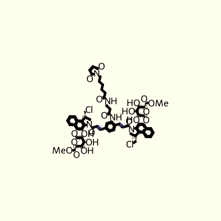 COC(=O)[C@H]1O[C@@H](Oc2cc3c(c4ccccc24)[C@H](CCl)CN3C(=O)/C=C/c2ccc(/C=C/C(=O)N3C[C@@H](CCl)c4c3cc(O[C@@H]3O[C@H](C(=O)OC)[C@@H](O)[C@H](O)[C@H]3O)c3ccccc43)c(NC(=O)CCNC(=O)CCCCCN3C(=O)C=CC3=O)c2)[C@H](O)[C@@H](O)[C@@H]1O